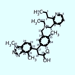 CCCc1ncccc1CN(CC)Cc1cc(C(CC(=O)O)c2ccc3c(nnn3C)c2C)ccc1C